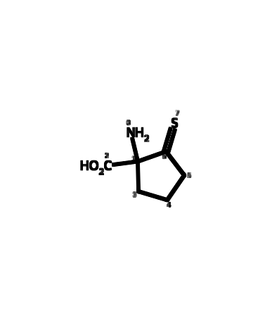 NC1(C(=O)O)CCCC1=S